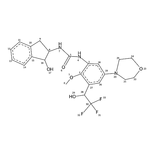 COc1c(NC(=O)NC2Cc3ccccc3C2O)cc(N2CCOCC2)cc1C(O)C(F)(F)F